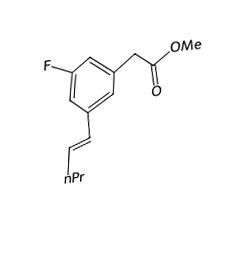 CCC/C=C/c1cc(F)cc(CC(=O)OC)c1